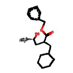 O=C(OCc1ccccc1)C(CC1CCCCC1)C[C@@H](O)S(=O)(=O)O